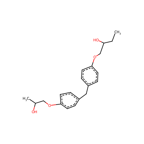 CCC(O)COc1ccc(Cc2ccc(OCC(C)O)cc2)cc1